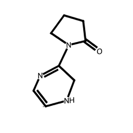 O=C1CCCN1C1=NC=[C]NC1